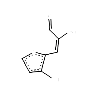 C=C/C(=C\c1sccc1C)C(C)(C)C